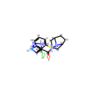 O=C(c1cnn[nH]1)N1CC2CCC(C1)N2Sc1cccc(F)c1Cl